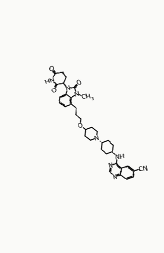 Cn1c(=O)n(C2CCC(=O)NC2=O)c2cccc(CCCOC3CCN([C@H]4CC[C@H](Nc5ncnc6ccc(C#N)cc56)CC4)CC3)c21